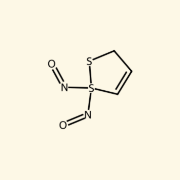 O=NS1(N=O)C=CCS1